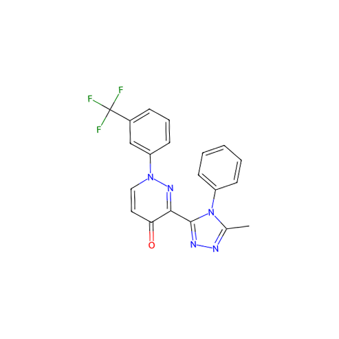 Cc1nnc(-c2nn(-c3cccc(C(F)(F)F)c3)ccc2=O)n1-c1ccccc1